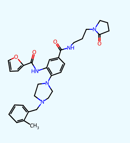 Cc1ccccc1CN1CCN(c2ccc(C(=O)NCCCN3CCCC3=O)cc2NC(=O)c2ccco2)CC1